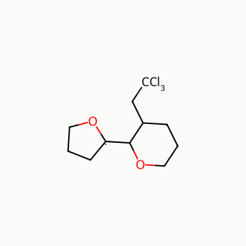 ClC(Cl)(Cl)CC1CCCOC1[C]1CCCO1